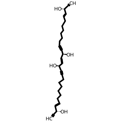 C#C[C@@H](O)/C=C/CCCCCCC#C[C@@H](O)/C=C/[C@H](O)C#CCCCCCC/C=C/[C@H](O)C#C